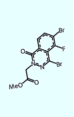 COC(=O)Cn1nc(Br)c2c(F)c(Br)ccc2c1=O